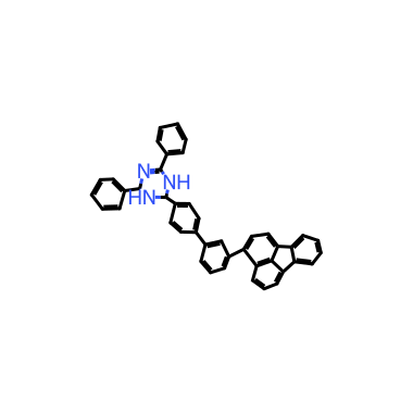 c1ccc(C2=NC(c3ccccc3)NC(c3ccc(-c4cccc(-c5ccc6c7c(cccc57)-c5ccccc5-6)c4)cc3)N2)cc1